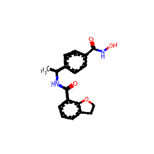 CC(NC(=O)c1cccc2c1OCC2)c1ccc(C(=O)NO)cc1